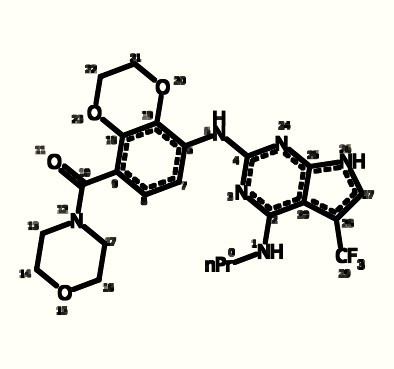 CCCNc1nc(Nc2ccc(C(=O)N3CCOCC3)c3c2OCCO3)nc2[nH]cc(C(F)(F)F)c12